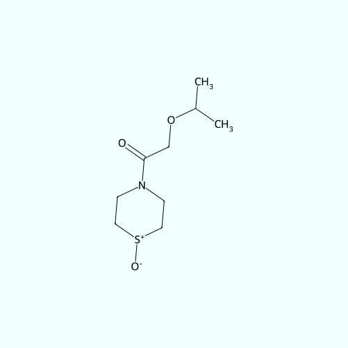 CC(C)OCC(=O)N1CC[S+]([O-])CC1